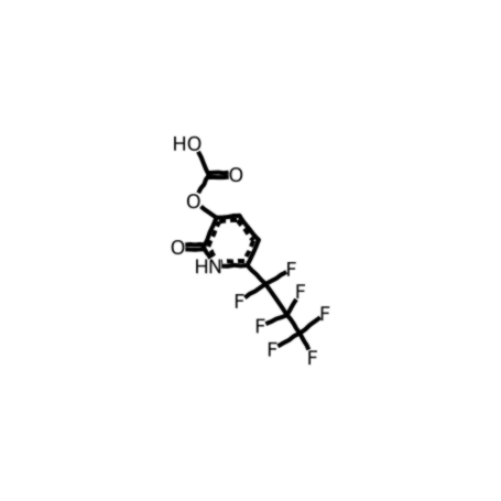 O=C(O)Oc1ccc(C(F)(F)C(F)(F)C(F)(F)F)[nH]c1=O